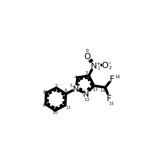 O=[N+]([O-])c1cn(-c2c[c]ccc2)nc1C(F)F